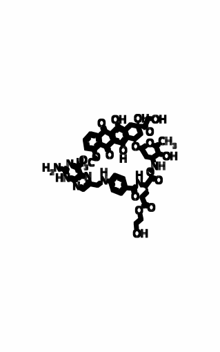 COc1cccc2c1C(=O)c1c(O)c3c(c(O)c1C2=O)C[C@@](O)(C(=O)CO)C[C@@H]3OC1CC(NOC(=O)[C@H](CCC(=O)OCCO)NC(=O)c2ccc(NCc3cnc4[nH]c(N)nc(=O)c4n3)cc2)C(O)C(C)O1